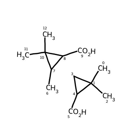 CC1(C)CC1C(=O)O.CC1C(C(=O)O)C1(C)C